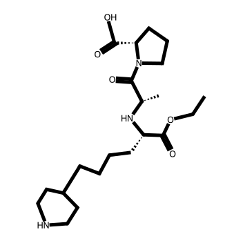 CCOC(=O)[C@H](CCCCC1CCNCC1)N[C@@H](C)C(=O)N1CCC[C@H]1C(=O)O